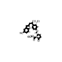 CCOC(=O)C(Cc1cc2cc(C#N)ccc2s1)c1ccc(OC[C@@H]2CCC(=O)N2C(=O)OC(C)(C)C)cc1